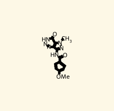 COc1ccc(C(=O)Nc2nn(C)c3c(=O)[nH]nnc23)cc1